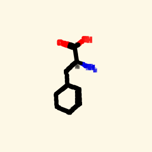 N[C@@H](CC1C=CCCC1)C(=O)O